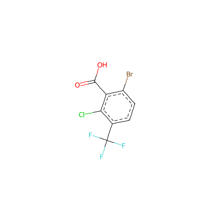 O=C(O)c1c(Br)ccc(C(F)(F)F)c1Cl